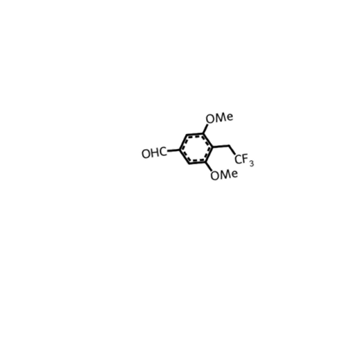 COc1cc(C=O)cc(OC)c1CC(F)(F)F